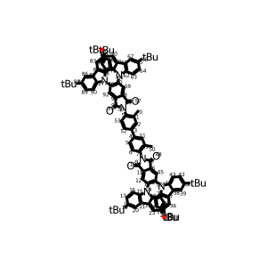 Cc1cc(-c2ccc(N3C(=O)c4cc(-n5c6ccc(C(C)(C)C)cc6c6cc(C(C)(C)C)ccc65)c(-n5c6ccc(C(C)(C)C)cc6c6cc(C(C)(C)C)ccc65)cc4C3=O)c(C)c2)ccc1N1C(=O)c2cc(-n3c4ccc(C(C)(C)C)cc4c4cc(C(C)(C)C)ccc43)c(-n3c4ccc(C(C)(C)C)cc4c4cc(C(C)(C)C)ccc43)cc2C1=O